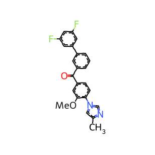 COc1cc(C(=O)c2cccc(-c3cc(F)cc(F)c3)c2)ccc1-n1cnc(C)c1